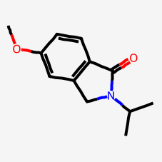 COc1ccc2c(c1)CN(C(C)C)C2=O